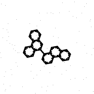 c1ccc2c(c1)ccc1c(-c3cc4ccccc4c4ccccc34)cccc12